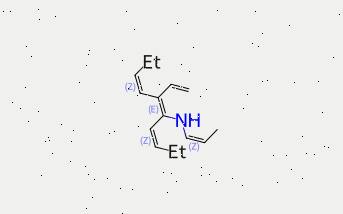 C=CC(/C=C\CC)=C(/C=C\CC)N/C=C\C